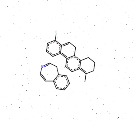 C1=Cc2ccccc2CC=N1.CC1=c2ccc3c(c2CCC1)CC=c1c(F)cccc1=3